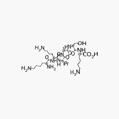 CC(C)[C@H](NC(=O)[C@H](CCCCN)NC(=O)[C@@H](N)CCCCN)C(=O)N[C@@H](C)C(=O)N[C@@H](CO)C(=O)N[C@@H](CCCCN)C(=O)O